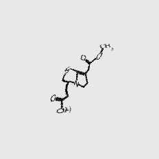 COC(=O)C1=C2SC/C(=C\C(=O)O)N2CC1